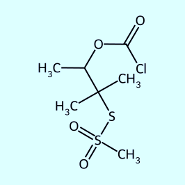 CC(OC(=O)Cl)C(C)(C)SS(C)(=O)=O